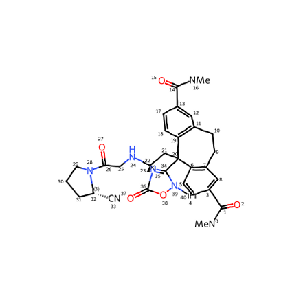 CNC(=O)c1ccc2c(c1)CCc1cc(C(=O)NC)ccc1C2(C[C@@H](C)NCC(=O)N1CCC[C@H]1C#N)c1nc(=O)on1C(C)C